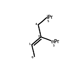 C/C=C(\CCC)CC(C)C